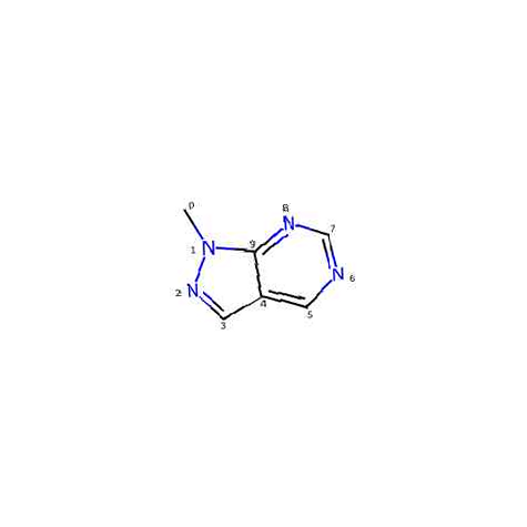 Cn1ncc2cncnc21